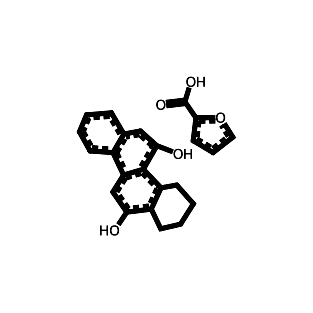 O=C(O)c1ccco1.Oc1cc2c(c(O)cc3ccccc32)c2c1CCCC2